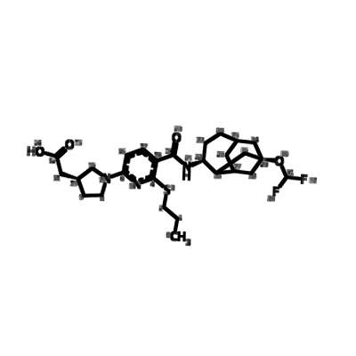 CCCSc1nc(N2CC[C@@H](CC(=O)O)C2)ccc1C(=O)N[C@H]1CCC2CC3C[C@@](OC(F)F)(C2)CC31